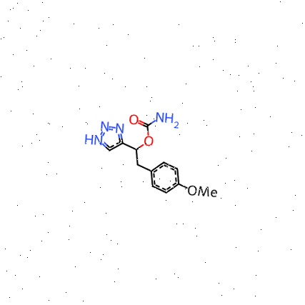 COc1ccc(CC(OC(N)=O)c2c[nH]nn2)cc1